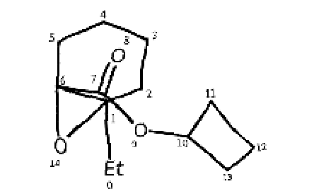 CCC12CCCCC1(C(=O)OC1CCC1)O2